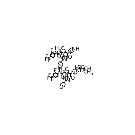 CCc1c(N2CCN(C(=O)OC(C)(C)C)CC2)c(=O)n2nc(C3=CCOCC3)nc2n1CC(=O)Nc1ccc(C(F)(F)F)cc1F.CCc1c(N2CCNCC2)c(=O)n2nc(C3=CCOCC3)nc2n1CC(=O)Nc1ccc(C(F)(F)F)cc1F